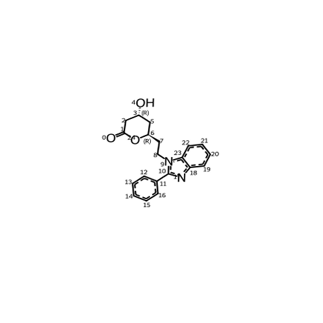 O=C1C[C@H](O)C[C@@H](CCn2c(-c3ccccc3)nc3ccccc32)O1